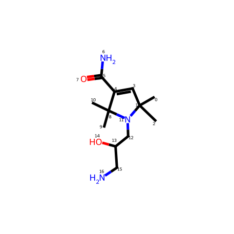 CC1(C)C=C(C(N)=O)C(C)(C)N1CC(O)CN